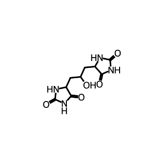 O=C1NC(=O)C(CC(O)CC2NC(=O)NC2=O)N1